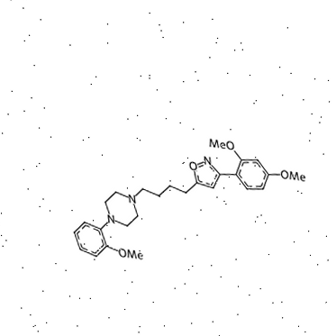 COc1ccc(-c2cc(CCCCN3CCN(c4ccccc4OC)CC3)on2)c(OC)c1